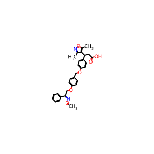 CON=C(COc1ccc(COc2ccc(C(CC(=O)O)c3c(C)noc3C)cc2)cc1)c1ccccc1